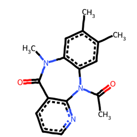 CC(=O)N1c2cc(C)c(C)cc2N(C)C(=O)c2cccnc21